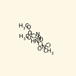 CCN(C1=CC(=O)C(Nc2ncnc3cc(OCCOC)c(OC)cc23)=CC1=O)c1ccccc1